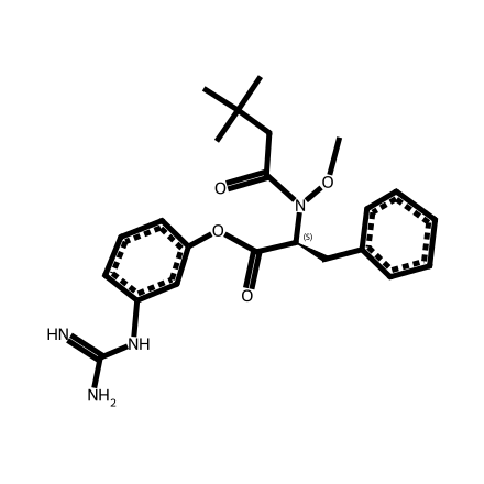 CON(C(=O)CC(C)(C)C)[C@@H](Cc1ccccc1)C(=O)Oc1cccc(NC(=N)N)c1